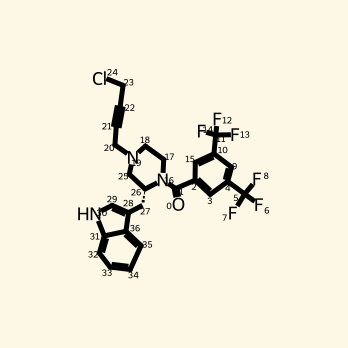 O=C(c1cc(C(F)(F)F)cc(C(F)(F)F)c1)N1CCN(CC#CCCl)C[C@H]1Cc1c[nH]c2ccccc12